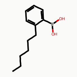 CCCCCCc1ccccc1B(O)O